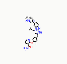 C=C(Cc1ccc(Oc2ncccc2C(N)=O)c(F)c1)Nc1nc2ccc(/C(C=N)=C/NC)cc2n1CC1CC1